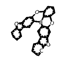 c1cc2c3c(c1)Oc1cc4oc5ccccc5c4cc1B3c1cc3c(cc1O2)oc1ccccc13